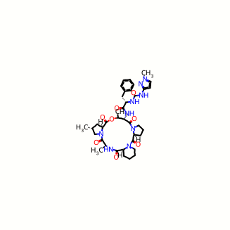 CC1OC(=O)[C@@H]2C[C@@H](C)CN2C(=O)[C@H](C)NC(=O)[C@@H]2CCCCN2C(=O)[C@@H]2CCCN2C(=O)[C@H]1NC(=O)[C@H](Cc1ccccc1)NC(=O)Nc1ccn(C)n1